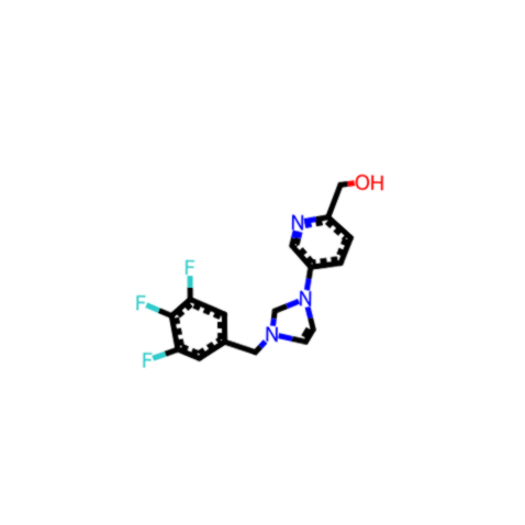 OCc1ccc(N2C=CN(Cc3cc(F)c(F)c(F)c3)C2)cn1